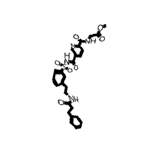 COC(=O)CNC(=O)c1ccc(C(=O)NS(=O)(=O)c2cccc(CCNC(=O)CCc3ccccc3)c2)cn1